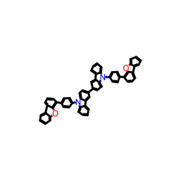 c1ccc2c(c1)oc1c(-c3ccc(-n4c5ccccc5c5cc(-c6ccc7c(c6)c6ccccc6n7-c6ccc(-c7cccc8c7oc7ccccc78)cc6)ccc54)cc3)cccc12